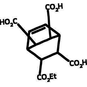 CCOC(=O)C1C2C=CC(C(C(=O)O)C2C(=O)O)C1C(=O)O